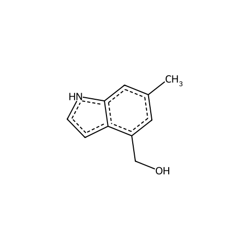 Cc1cc(CO)c2cc[nH]c2c1